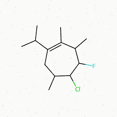 CC1=C(C(C)C)CC(C)C(Cl)C(F)C1C